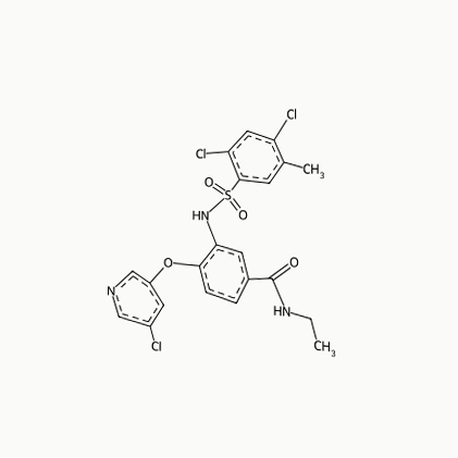 CCNC(=O)c1ccc(Oc2cncc(Cl)c2)c(NS(=O)(=O)c2cc(C)c(Cl)cc2Cl)c1